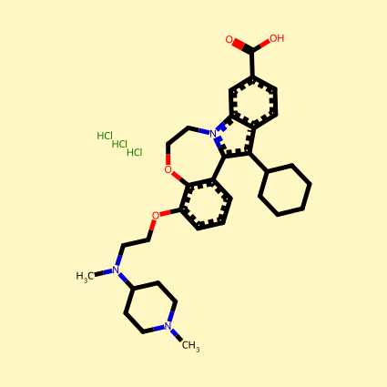 CN1CCC(N(C)CCOc2cccc3c2OCCn2c-3c(C3CCCCC3)c3ccc(C(=O)O)cc32)CC1.Cl.Cl.Cl